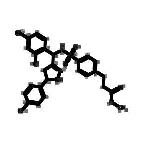 COC(=O)CCc1ccc(S(=O)(=O)NC(C2=NNC(c3ccc(Cl)cc3)C2)c2ccc(Cl)cc2Cl)cc1